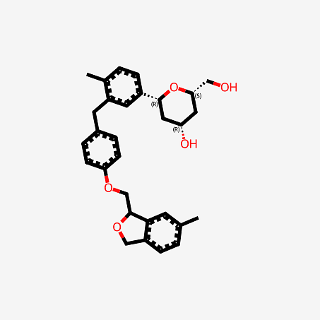 Cc1ccc2c(c1)C(COc1ccc(Cc3cc([C@H]4C[C@@H](O)C[C@@H](CO)O4)ccc3C)cc1)OC2